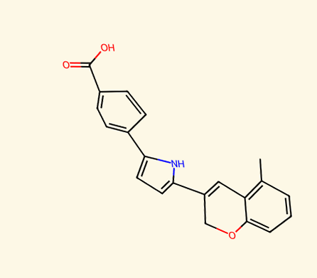 Cc1cccc2c1C=C(c1ccc(-c3ccc(C(=O)O)cc3)[nH]1)CO2